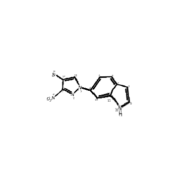 O=[N+]([O-])c1nn(-c2ccc3cc[nH]c3c2)cc1Br